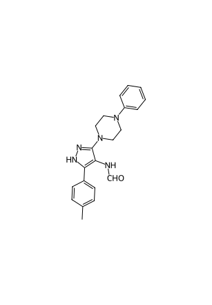 Cc1ccc(-c2[nH]nc(N3CCN(c4ccccc4)CC3)c2NC=O)cc1